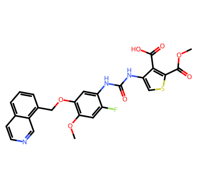 COC(=O)c1scc(NC(=O)Nc2cc(OCc3cccc4ccncc34)c(OC)cc2F)c1C(=O)O